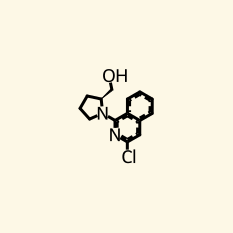 OC[C@@H]1CCCN1c1nc(Cl)cc2ccccc12